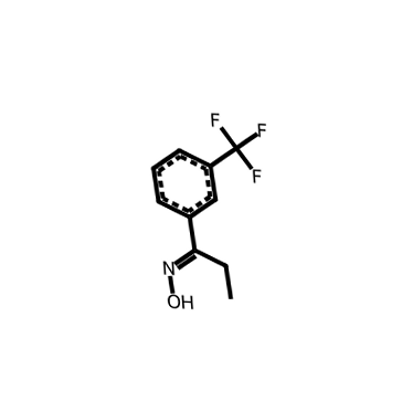 CC/C(=N\O)c1cccc(C(F)(F)F)c1